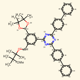 COC(C)(C)C(C)(C)OBc1cc(B2OC(C)(C)C(C)(C)O2)cc(-c2nc(-c3ccc(-c4ccccc4)cc3)nc(-c3ccc(-c4ccccc4)cc3)n2)c1